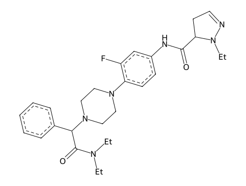 CCN(CC)C(=O)C(c1ccccc1)N1CCN(c2ccc(NC(=O)C3CC=NN3CC)cc2F)CC1